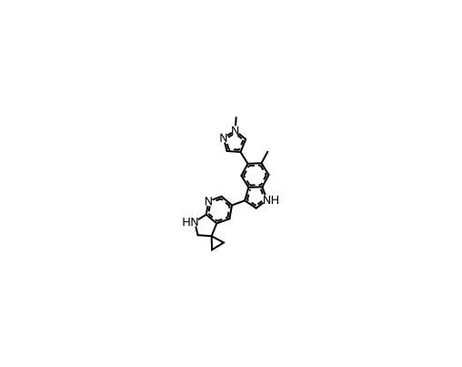 Cc1cc2[nH]cc(-c3cnc4c(c3)C3(CC3)CN4)c2cc1-c1cnn(C)c1